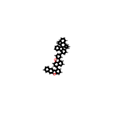 c1ccc2c(c1)-c1c(-c3ccc4c(c3)-c3cccc5c(-c6cccc7oc8cc9ccccc9cc8c67)ccc(c35)O4)cccc1C21c2ccccc2-c2cccc3cccc1c23